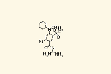 CCc1cc(N(C)c2ccccc2)c(S(C)(=O)=O)cc1C(=O)N=C(N)N